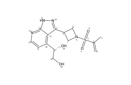 C=C(C)S(=O)(=O)N1CC(c2n[nH]c3nccc([C@H](O)CO)c23)C1